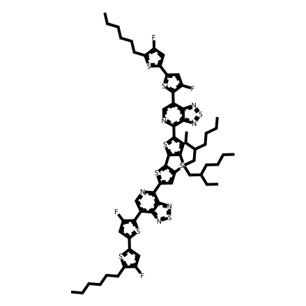 CCCCCCc1sc(-c2cc(F)c(-c3cnc(-c4cc5c(s4)-c4sc(-c6ncc(-c7sc(-c8cc(F)c(CCCCCC)s8)cc7F)c7nsnc67)cc4[Si]5(CC(CC)CCCC)CC(CC)CCCC)c4nsnc34)s2)cc1F